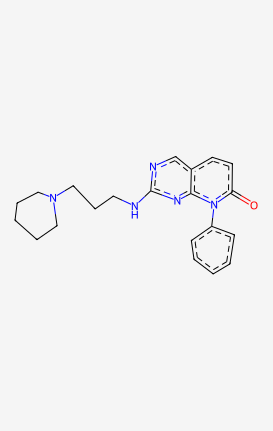 O=c1ccc2cnc(NCCCN3CCCCC3)nc2n1-c1ccccc1